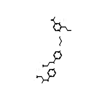 CCCc1c(OCCCSc2ccc(C(CCC(=O)O)Sc3ccc(C(=O)C(C)CC(=O)O)cc3)cc2)ccc(C(C)=O)c1O